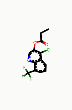 CCC(=O)Oc1cnc2c(C(F)(F)F)cccc2c1Cl